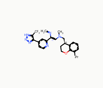 C=N/C(=C\N(C)C[C@@H]1CCOc2c(C(C)C)cccc21)c1cc(-c2nn[nH]c2C(F)(F)F)ccn1